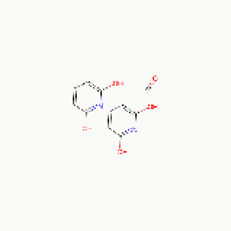 C=O.Oc1cccc(O)n1.Oc1cccc(O)n1